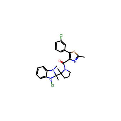 Cc1nc(C(=O)N2CCCC2(C)C2(C)N(C)c3ccccc3N2Cl)c(-c2cccc(Cl)c2)s1